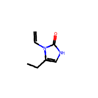 C=Cn1c(CC)c[nH]c1=O